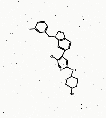 NC1CCC(Nc2cc(-c3ccc4c(c3)N(Cc3cccc(F)c3)CC4)c(Cl)cn2)CC1